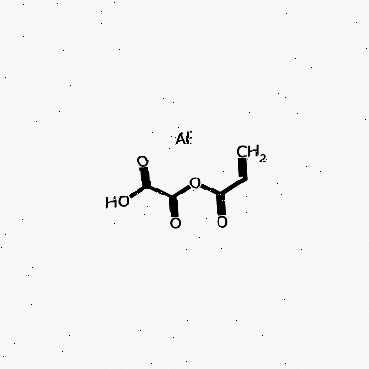 C=CC(=O)OC(=O)C(=O)O.[Al]